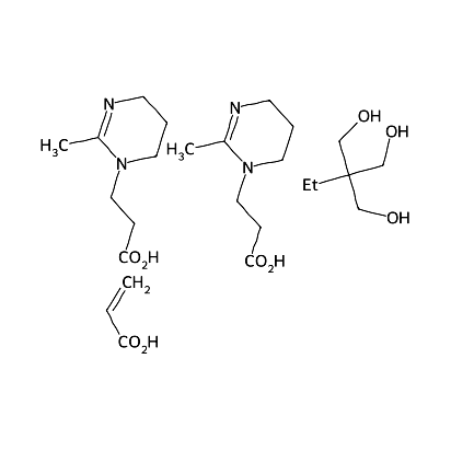 C=CC(=O)O.CC1=NCCCN1CCC(=O)O.CC1=NCCCN1CCC(=O)O.CCC(CO)(CO)CO